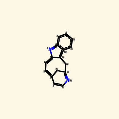 C1=CC2=CC=C3N=c4ccccc4=C3CC(=N1)C2